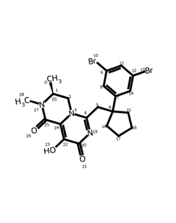 C[C@H]1Cn2c(CC3(c4cc(Br)cc(Br)c4)CCCC3)nc(=O)c(O)c2C(=O)N1C